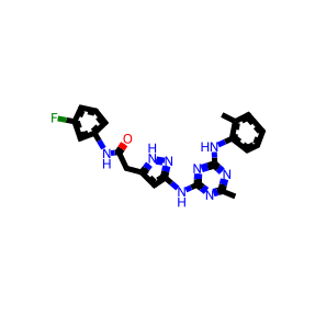 Cc1nc(Nc2cc(CC(=O)Nc3cccc(F)c3)[nH]n2)nc(Nc2ccccc2C)n1